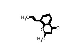 CC=Cc1cccc2c(=O)cc(C)oc12